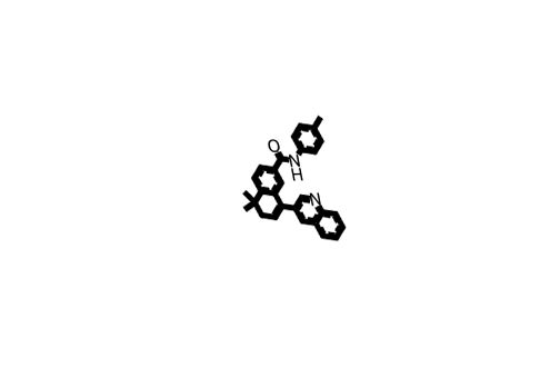 Cc1ccc(NC(=O)c2ccc3c(c2)C(c2cnc4ccccc4c2)=CCC3(C)C)cc1